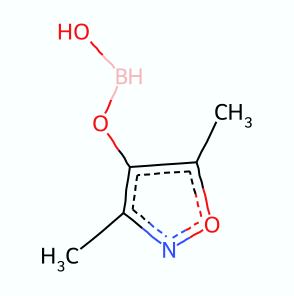 Cc1noc(C)c1OBO